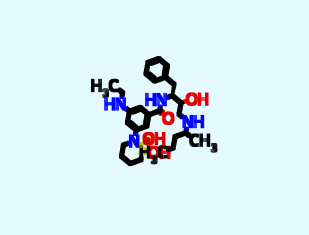 CCCC(C)NC[C@H](O)[C@H](Cc1ccccc1)NC(=O)c1cc(NCC)cc(N2CCCCS2(O)O)c1